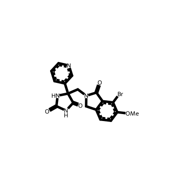 COc1ccc2c(c1Br)C(=O)N(CC1(c3cccnc3)NC(=O)NC1=O)C2